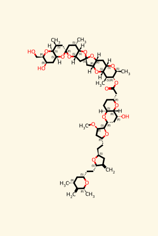 C=C1C[C@H](CC[C@@H]2C[C@@H](OC)[C@@H]([C@H]3C[C@@H](O)[C@H]4O[C@@H](CC(=O)O[C@@H]5[C@@H](C)[C@@H]6O[C@@H]7C[C@]8(C[C@@H]9O[C@]%10(C[C@H](C)[C@@H]%11O[C@H](CO)[C@H](O)C[C@@H]%11O%10)C[C@H](C)[C@@H]9O8)O[C@@H]7C[C@@H]6O[C@H]5C)CC[C@@H]4O3)O2)O[C@H]1CC[C@H]1C[C@@H](C)C(=C)[C@@H](C)O1